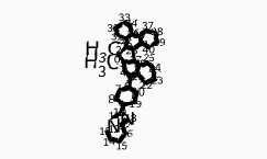 CC1(C)c2cc(-c3ccc(-c4cn5ccccc5n4)cc3)c3ccccc3c2-c2c1c1ccccc1c1ccccc21